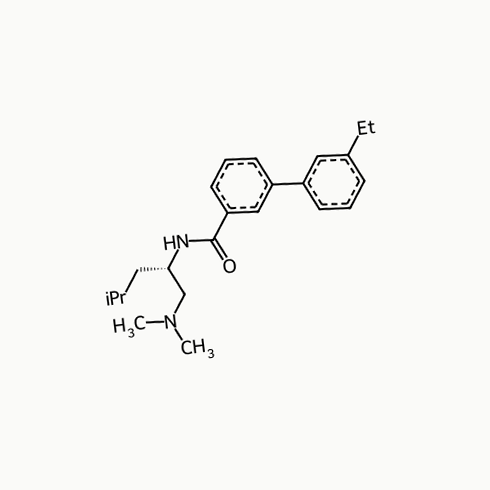 CCc1cccc(-c2cccc(C(=O)N[C@@H](CC(C)C)CN(C)C)c2)c1